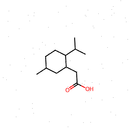 CC1CCC(C(C)C)[C](CC(=O)O)C1